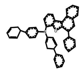 C1=CCC(c2ccc(N(C3=CCC(c4ccccc4)C=C3)c3cccc4c3oc3c(-c5ccccc5)cc5ccccc5c34)cc2)C=C1